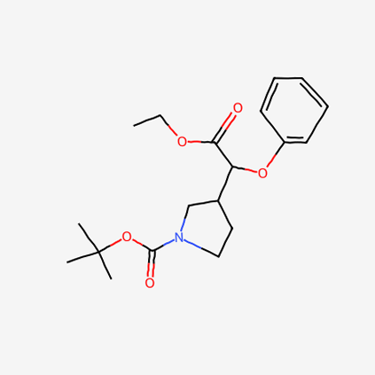 CCOC(=O)C(Oc1ccccc1)C1CCN(C(=O)OC(C)(C)C)C1